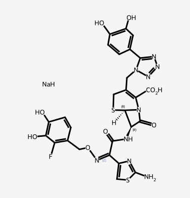 Nc1nc(/C(=N/OCc2ccc(O)c(O)c2F)C(=O)N[C@@H]2C(=O)N3C(C(=O)O)=C(Cn4nnnc4-c4ccc(O)c(O)c4)CS[C@H]23)cs1.[NaH]